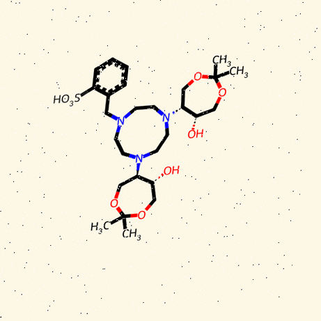 CC1(C)OC[C@@H](O)[C@H](N2CCN(Cc3ccccc3S(=O)(=O)O)CCN([C@@H]3COC(C)(C)OC[C@@H]3O)CC2)CO1